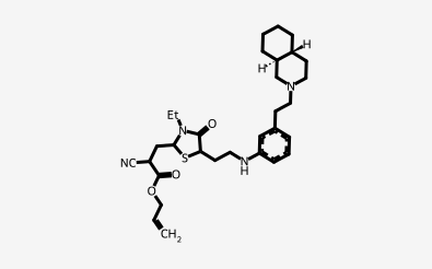 C=CCOC(=O)C(C#N)CC1SC(CCNc2cccc(CCN3CC[C@H]4CCCC[C@@H]4C3)c2)C(=O)N1CC